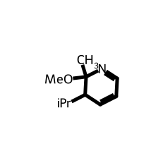 COC1(C)N=CC=CC1C(C)C